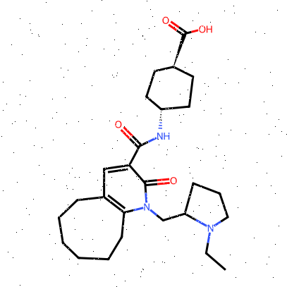 CCN1CCCC1Cn1c2c(cc(C(=O)N[C@H]3CC[C@H](C(=O)O)CC3)c1=O)CCCCCC2